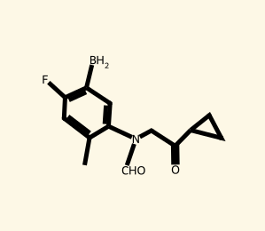 Bc1cc(N(C=O)CC(=O)C2CC2)c(C)cc1F